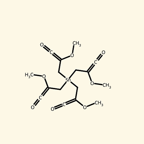 COC(=C=O)[CH2][Sn]([CH2]C(=C=O)OC)([CH2]C(=C=O)OC)[CH2]C(=C=O)OC